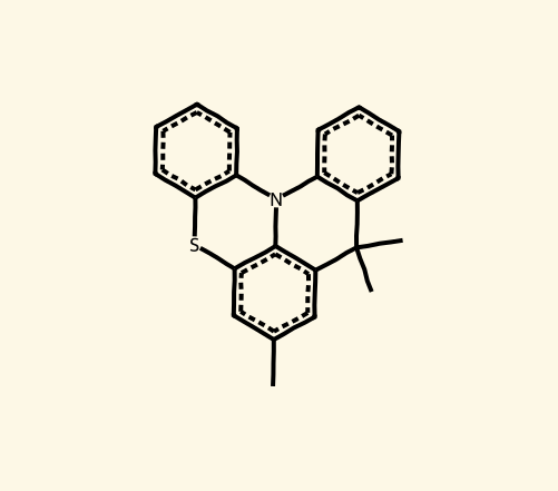 Cc1cc2c3c(c1)C(C)(C)c1ccccc1N3c1ccccc1S2